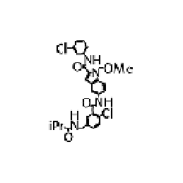 COCn1c(C(=O)Nc2cccc(Cl)c2)cc2cc(NC(=O)c3cc(CNC(=O)C(C)C)ccc3Cl)ccc21